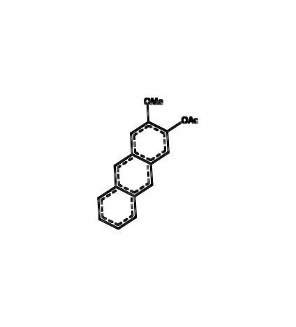 COc1cc2cc3ccccc3cc2cc1OC(C)=O